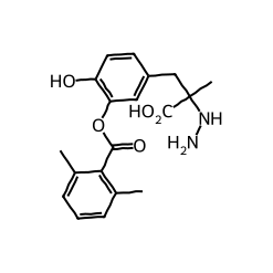 Cc1cccc(C)c1C(=O)Oc1cc(CC(C)(NN)C(=O)O)ccc1O